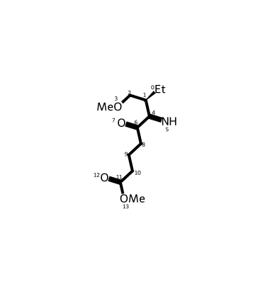 CC[C@H](COC)C(=N)C(=O)CCCC(=O)OC